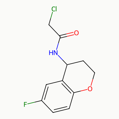 O=C(CCl)NC1CCOc2ccc(F)cc21